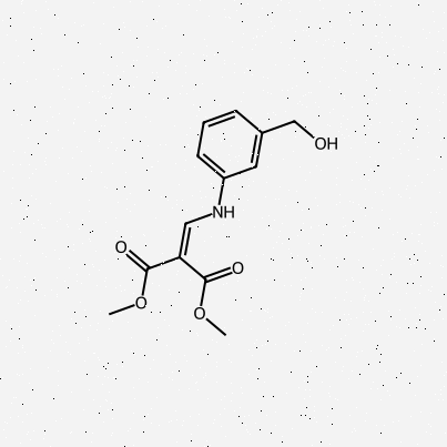 COC(=O)C(=CNc1cccc(CO)c1)C(=O)OC